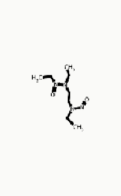 CCN(CCN(CC)[N+](=O)CC)N=O